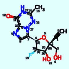 C#C[C@]1(CO)O[C@@H](c2cnc3c(=O)[nH]c(C)nn23)[C@H](F)[C@@H]1O